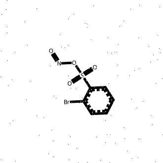 O=NOS(=O)(=O)c1ccccc1Br